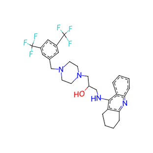 OC(CNc1c2c(nc3ccccc13)CCCC2)CN1CCN(Cc2cc(C(F)(F)F)cc(C(F)(F)F)c2)CC1